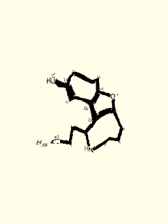 CCCC1NCCCc2oc3ccc(O)cc3c21